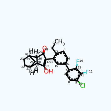 CCc1ccc(-c2ccc(Cl)c(F)c2F)cc1C1=C(O)[C@H]2[C@H]3CC[C@H](C3)[C@H]2C1=O